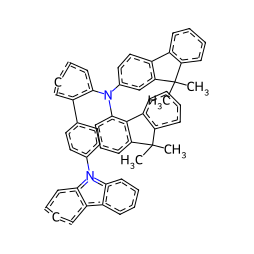 CC1(C)c2ccccc2-c2ccc(N(c3ccccc3-c3ccc(-n4c5ccccc5c5ccccc54)cc3)c3cccc4c3-c3ccccc3C4(C)C)cc21